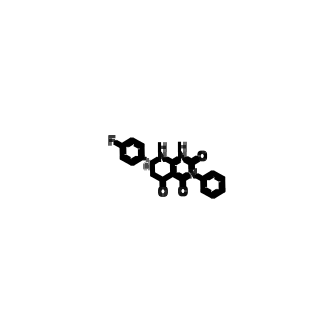 O=C1C[C@H](c2ccc(F)cc2)Nc2[nH]c(=O)n(-c3ccccc3)c(=O)c21